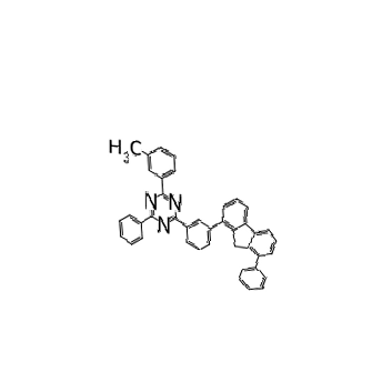 Cc1cccc(-c2nc(-c3ccccc3)nc(-c3cccc(-c4cccc5c4Cc4c(-c6ccccc6)cccc4-5)c3)n2)c1